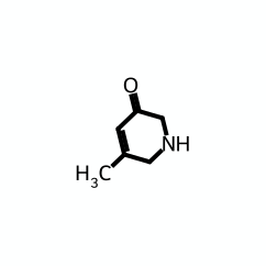 CC1=CC(=O)CNC1